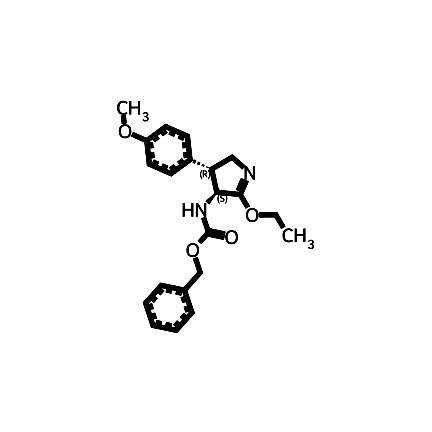 CCOC1=NC[C@@H](c2ccc(OC)cc2)[C@@H]1NC(=O)OCc1ccccc1